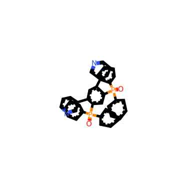 O=P(c1ccccc1)(c1ccccc1)c1cc(P(=O)(c2ccccc2)c2ccccc2)c(-c2cccnc2)cc1-c1cccnc1